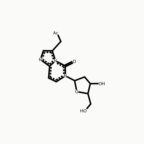 CC(=O)Cc1cnc2ccn(C3CC(O)C(CO)O3)c(=O)n12